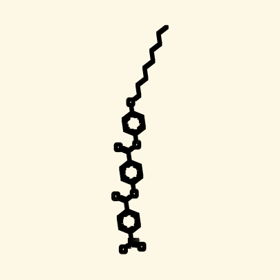 CCCCCCCCCOc1ccc(OC(=O)c2ccc(OC(=O)c3ccc([N+](=O)[O-])cc3)cc2)cc1